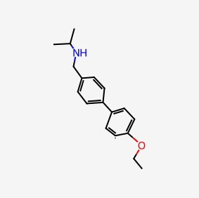 CCOc1[c]cc(-c2ccc(CNC(C)C)cc2)cc1